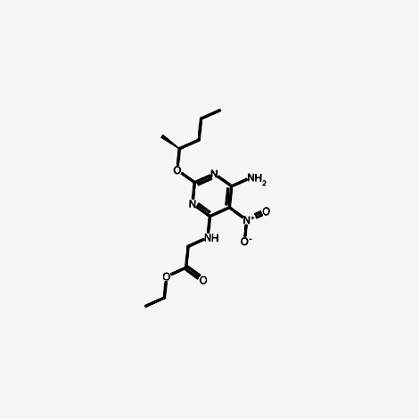 CCC[C@H](C)Oc1nc(N)c([N+](=O)[O-])c(NCC(=O)OCC)n1